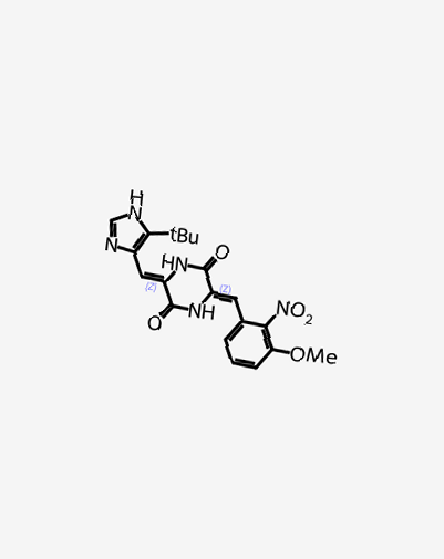 COc1cccc(/C=c2\[nH]c(=O)/c(=C/c3nc[nH]c3C(C)(C)C)[nH]c2=O)c1[N+](=O)[O-]